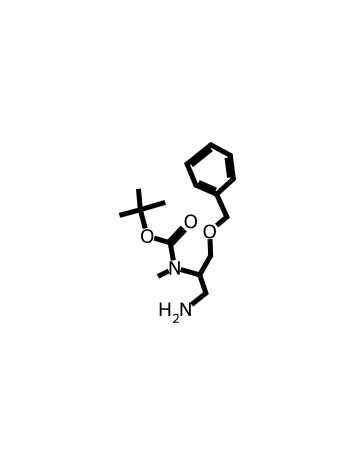 CN(C(=O)OC(C)(C)C)C(CN)COCc1ccccc1